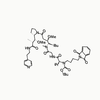 CC[C@H](C)[C@@H]([C@@H](CC(=O)N1CCC[C@H]1[C@H](OC)[C@@H](C)C(=O)NCCc1ccncc1)OC)N(C)C(=O)CNC(=O)[C@H](C(C)C)N(CCCCN1C(=O)c2ccccc2C1=O)C(=O)OC(C)(C)C